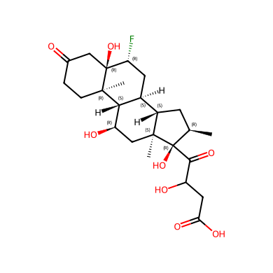 C[C@@H]1C[C@H]2[C@@H]3C[C@@H](F)[C@@]4(O)CC(=O)CC[C@]4(C)[C@H]3[C@H](O)C[C@]2(C)[C@@]1(O)C(=O)C(O)CC(=O)O